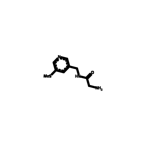 CSc1cncc(CNC(=O)CN)c1